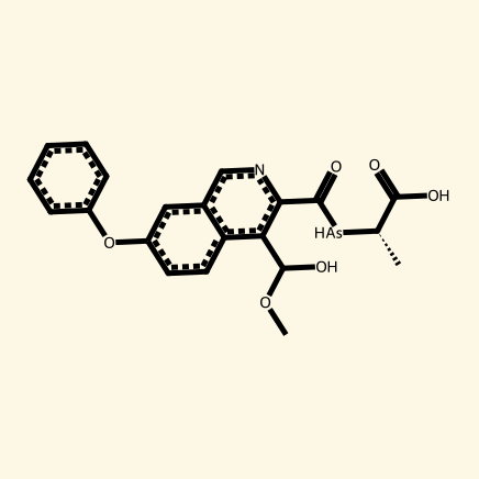 COC(O)c1c(C(=O)[AsH][C@@H](C)C(=O)O)ncc2cc(Oc3ccccc3)ccc12